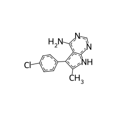 Cc1[nH]c2ncnc(N)c2c1-c1ccc(Cl)cc1